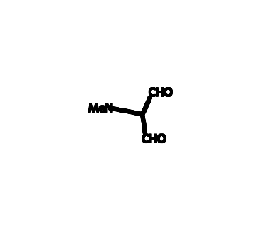 CNC(C=O)C=O